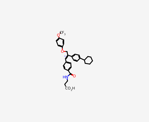 O=C(O)CCNC(=O)c1ccc(/C=C(/COc2ccc(OC(F)(F)F)cc2)c2ccc(C3CCCCC3)cc2)cc1